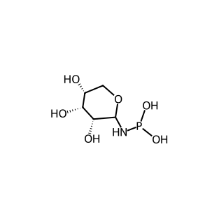 O[C@@H]1[C@H](O)COC(NP(O)O)[C@@H]1O